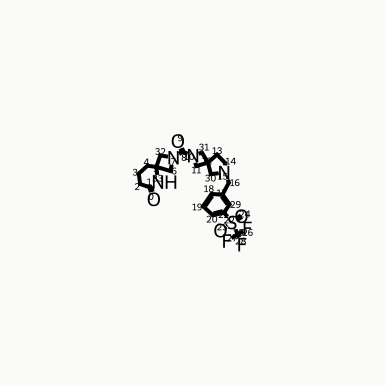 O=C1CCCC2(CN(C(=O)N3CC4(CCN(Cc5cccc(S(=O)(=O)C(F)(F)F)c5)C4)C3)C2)N1